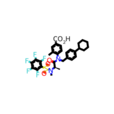 Cc1cc(C(=O)O)ccc1N(Cc1ccc(C2CCCCC2)cc1)C(=O)[C@@H](C)N(C)S(=O)(=O)c1c(F)c(F)c(F)c(F)c1F